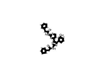 Cc1cccc(-c2nc(NC(=O)Cc3ccccc3)sc2-c2ccnc(NC(=O)Cc3ccccc3)n2)c1